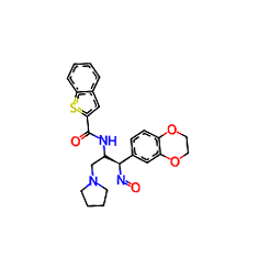 O=N[C@H](c1ccc2c(c1)OCCO2)C(CN1CCCC1)NC(=O)c1cc2ccccc2s1